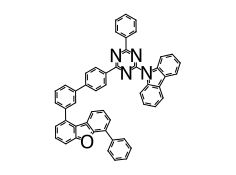 c1ccc(-c2nc(-c3ccc(-c4cccc(-c5cccc6oc7c(-c8ccccc8)cccc7c56)c4)cc3)nc(-n3c4ccccc4c4ccccc43)n2)cc1